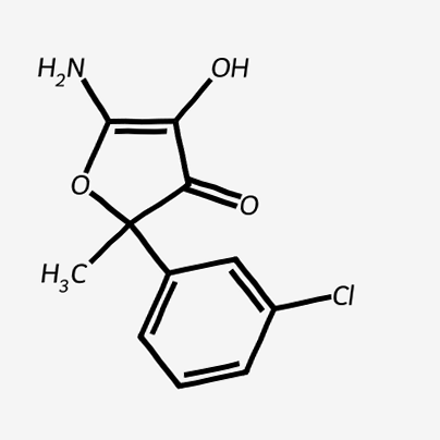 CC1(c2cccc(Cl)c2)OC(N)=C(O)C1=O